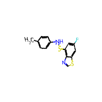 Cc1ccc(NSc2cc(F)cc3scnc23)cc1